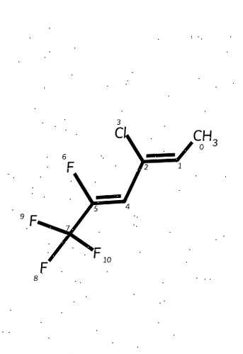 CC=C(Cl)C=C(F)C(F)(F)F